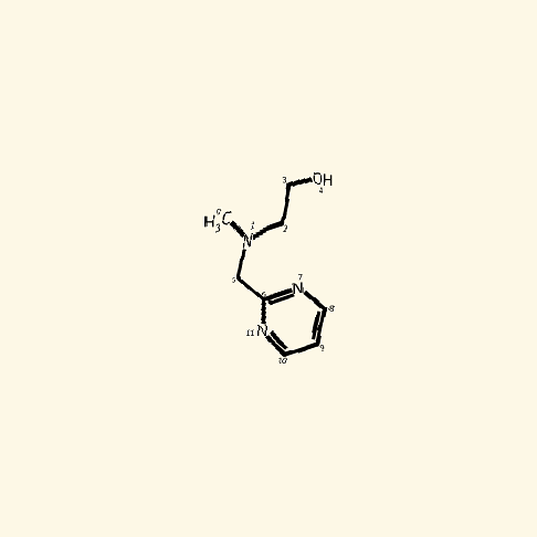 CN(CCO)Cc1ncccn1